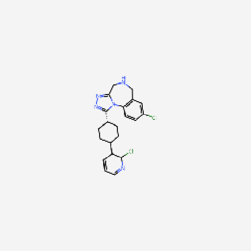 Clc1ccc2c(c1)CNCc1nnc([C@H]3CC[C@H](C4C=CC=NC4Cl)CC3)n1-2